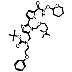 CC(C)(C)OC(=O)N(CCOc1ccccc1)Cc1cnc(-c2ccc(C(=O)NOC3CCCCO3)s2)n1COCC[Si](C)(C)C